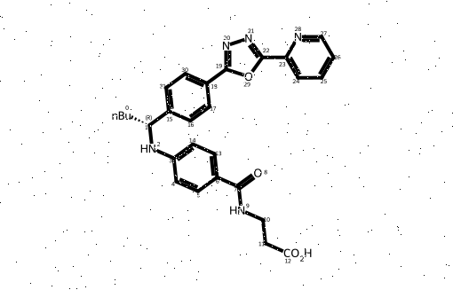 CCCC[C@@H](Nc1ccc(C(=O)NCCC(=O)O)cc1)c1ccc(-c2nnc(-c3ccccn3)o2)cc1